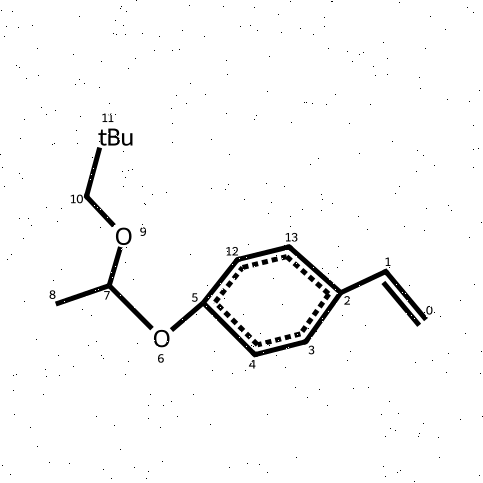 C=Cc1ccc(OC(C)OCC(C)(C)C)cc1